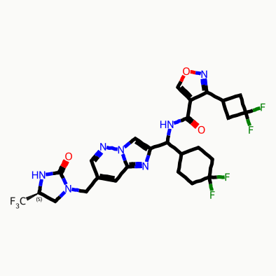 O=C(NC(c1cn2ncc(CN3C[C@@H](C(F)(F)F)NC3=O)cc2n1)C1CCC(F)(F)CC1)c1conc1C1CC(F)(F)C1